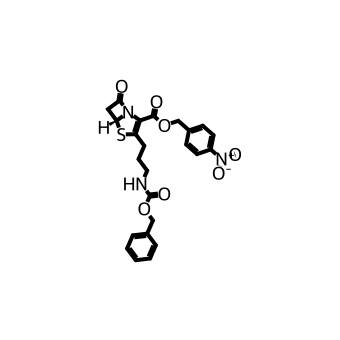 O=C(NCCCC1=C(C(=O)OCc2ccc([N+](=O)[O-])cc2)N2C(=O)C[C@H]2S1)OCc1ccccc1